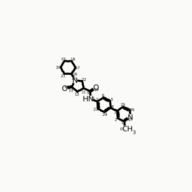 Cc1cc(-c2ccc(NC(=O)C3CC(=O)N(C4CCCCC4)C3)cc2)ccn1